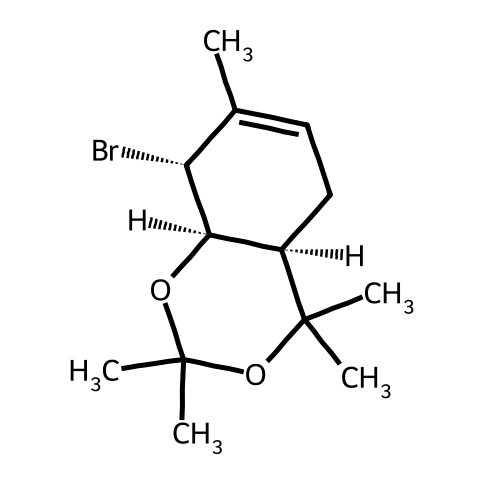 CC1=CC[C@@H]2[C@@H](OC(C)(C)OC2(C)C)[C@@H]1Br